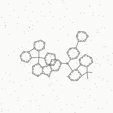 CC1(C)c2ccccc2-c2c(N(c3ccc(-c4ccccc4)cc3)c3ccc4c(c3)oc3cccc(C5(c6ccccc6)c6ccccc6-c6ccccc65)c34)cccc21